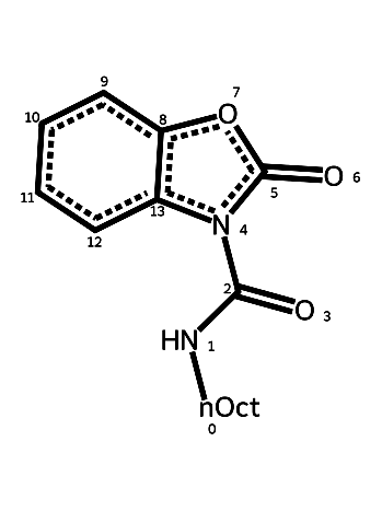 CCCCCCCCNC(=O)n1c(=O)oc2ccccc21